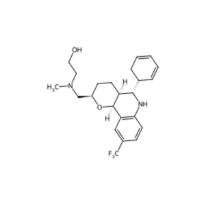 CN(CCO)C[C@H]1CC[C@@H]2[C@H](O1)c1cc(C(F)(F)F)ccc1N[C@H]2C1C=CC=CC1